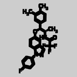 Cc1ccc([C@H](Oc2ccc3c(cnn3-c3ccc(F)cc3)c2)[C@H](C)NC(=O)C(F)(F)F)cc1C